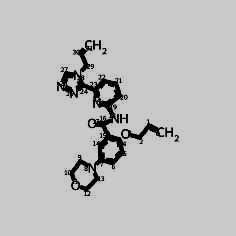 C=CCOc1ccc(N2CCOCC2)cc1C(=O)Nc1cccc(-c2nncn2CC=C)n1